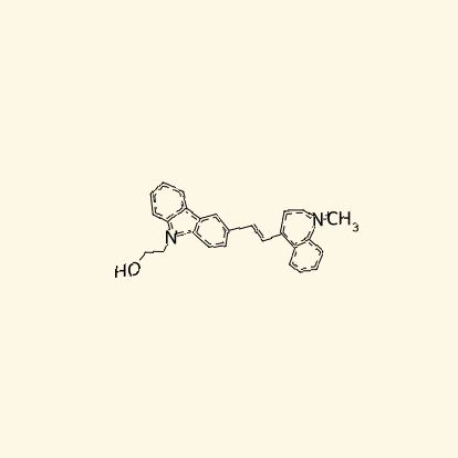 C[n+]1ccc(/C=C/c2ccc3c(c2)c2ccccc2n3CCO)c2ccccc21